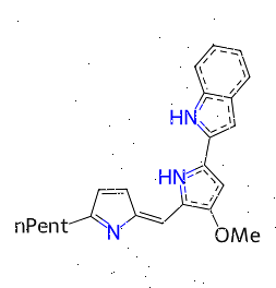 CCCCCC1=NC(=Cc2[nH]c(-c3cc4ccccc4[nH]3)cc2OC)C=C1